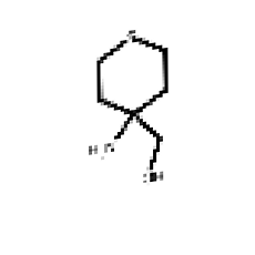 NC1(CO)CCSCC1